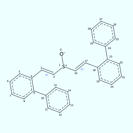 [O-][S+](/C=C/c1ccccc1-c1ccccc1)/C=C/c1ccccc1-c1ccccc1